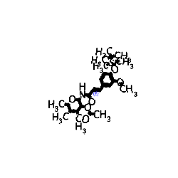 COc1cc(/C=C/C(=O)NC2OC(C)C(C)C(C)C2OC(C)=O)ccc1O[Si](C)(C)C(C)(C)C